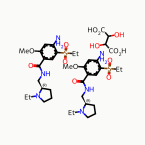 CCN1CCC[C@@H]1CNC(=O)c1cc(S(=O)(=O)CC)c(N)cc1OC.CCN1CCC[C@@H]1CNC(=O)c1cc(S(=O)(=O)CC)c(N)cc1OC.O=C(O)C(O)C(O)C(=O)O